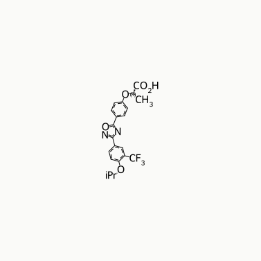 CC(C)Oc1ccc(-c2noc(-c3ccc(O[C@H](C)C(=O)O)cc3)n2)cc1C(F)(F)F